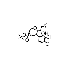 CSCC(O)C1OCCN(C(=O)OC(C)(C)C)CC1c1ccc(Cl)c(Cl)c1